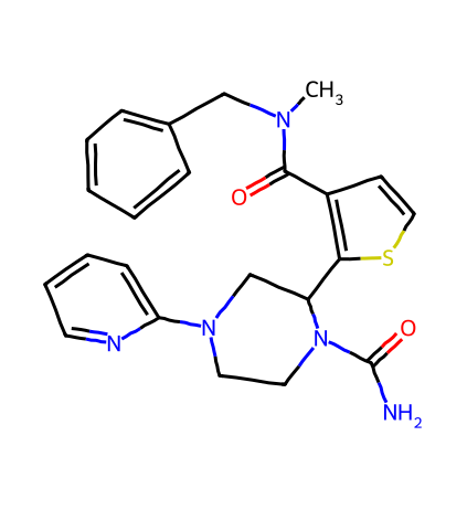 CN(Cc1ccccc1)C(=O)c1ccsc1C1CN(c2ccccn2)CCN1C(N)=O